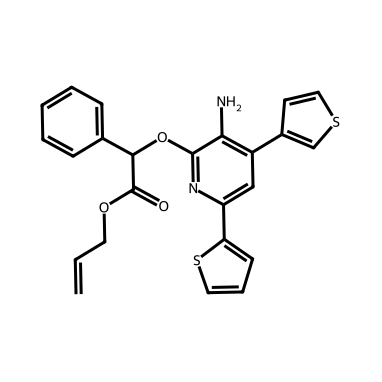 C=CCOC(=O)C(Oc1nc(-c2cccs2)cc(-c2ccsc2)c1N)c1ccccc1